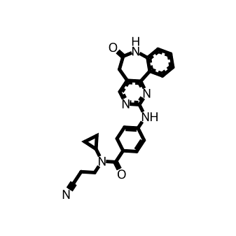 N#CCCN(C(=O)C1C=CC(Nc2ncc3c(n2)-c2ccccc2NC(=O)C3)=CC1)C1CC1